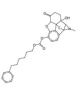 CN1C2C13CC14c5c3ccc(OS(=O)OCCCCCCc3ccccc3)c5OC1C(=O)CCC24O